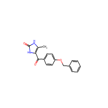 Cc1[nH]c(=O)[nH]c1C(=O)c1ccc(OCc2ccccc2)cc1